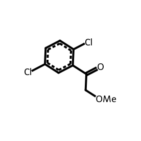 COCC(=O)c1cc(Cl)ccc1Cl